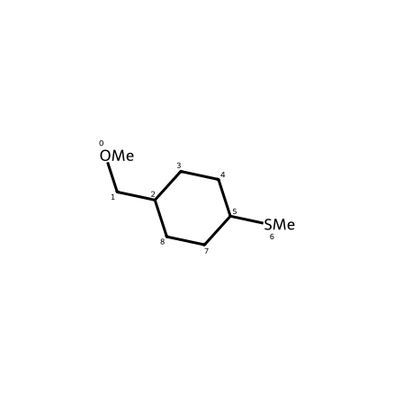 COCC1CCC(SC)CC1